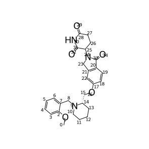 COc1ccccc1CN1CCCC[C@H]1COc1ccc2c(c1)CN(C1CCC(=O)NC1=O)C2=O